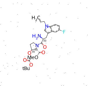 C=CCn1cc(C[C@H](N)C(=O)N2CC[C@H](OCC(=O)OC(C)(C)C)[C@H]2C(=O)OC)c2cc(F)ccc21